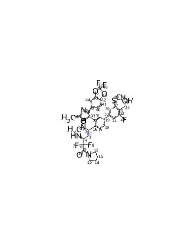 CN/C(=C\C(=N)C(F)(F)C(=O)N1CCCC1)c1ccc(-c2cc(F)c(CO)c(SC)c2)cc1-c1oc(C)nc1-c1ccc2c(c1)OC(F)(F)O2